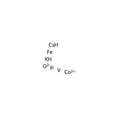 [Co+2].[CsH].[Fe].[KH].[O-2].[P].[V]